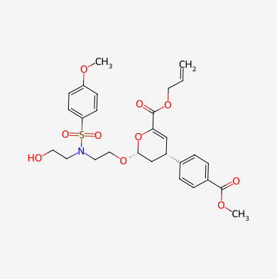 C=CCOC(=O)C1=C[C@H](c2ccc(C(=O)OC)cc2)C[C@H](OCCN(CCO)S(=O)(=O)c2ccc(OC)cc2)O1